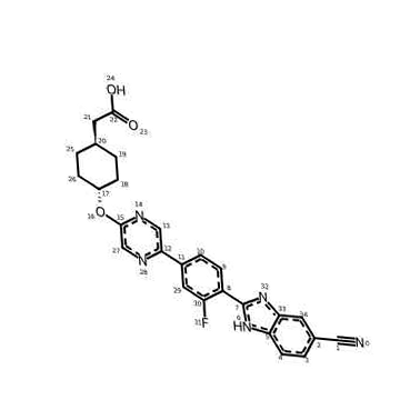 N#Cc1ccc2[nH]c(-c3ccc(-c4cnc(O[C@H]5CC[C@H](CC(=O)O)CC5)cn4)cc3F)nc2c1